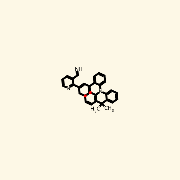 CC1(C)C2=C(CCC=C2)N(c2ccccc2C2=CCCC(c3ncccc3C=N)=C2)c2ccccc21